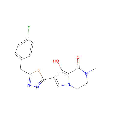 CN1CCn2cc(-c3nnc(Cc4ccc(F)cc4)s3)c(O)c2C1=O